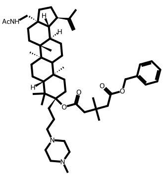 C=C(C)[C@@H]1CC[C@]2(CNC(C)=O)CC[C@]3(C)[C@H](CCC4[C@@]5(C)CC[C@](CCCN6CCN(C)CC6)(OC(=O)CC(C)(C)CC(=O)OCc6ccccc6)C(C)(C)[C@@H]5CC[C@]43C)[C@@H]12